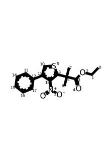 CCOC(=O)C(C)(C)c1scc(-c2ccccc2)c1[N+](=O)[O-]